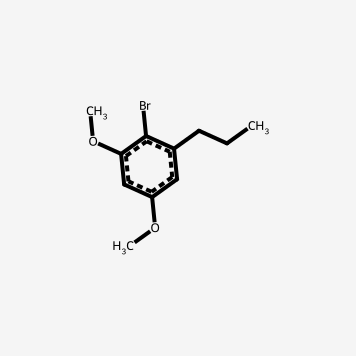 CCCc1cc(OC)cc(OC)c1Br